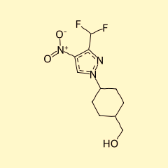 O=[N+]([O-])c1cn(C2CCC(CO)CC2)nc1C(F)F